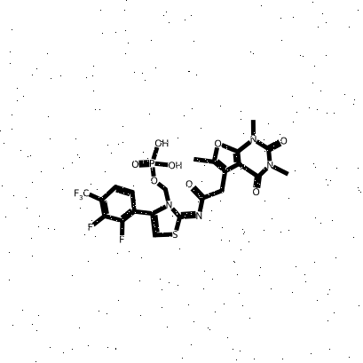 Cc1oc2c(c1CC(=O)N=c1scc(-c3ccc(C(F)(F)F)c(F)c3F)n1COP(=O)(O)O)c(=O)n(C)c(=O)n2C